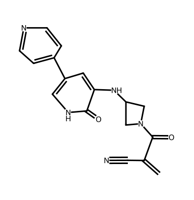 C=C(C#N)C(=O)N1CC(Nc2cc(-c3ccncc3)c[nH]c2=O)C1